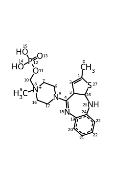 CC1=CC2C(N3CC[N+](C)(COP(=O)(O)O)CC3)=Nc3ccccc3NC2S1